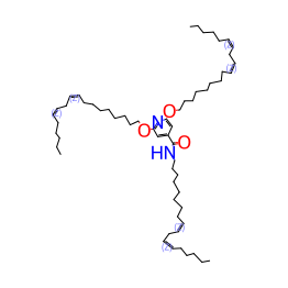 CCCCC/C=C\C/C=C\CCCCCCCCNC(=O)c1cc(OCCCCCCCC/C=C\C/C=C\CCCCC)nc(OCCCCCCCC/C=C\C/C=C\CCCCC)c1